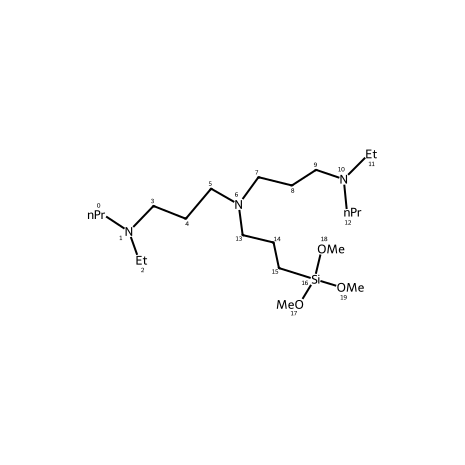 CCCN(CC)CCCN(CCCN(CC)CCC)CCC[Si](OC)(OC)OC